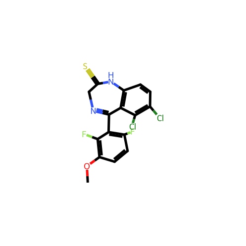 COc1ccc(F)c(C2=NCC(=S)Nc3ccc(Cl)c(Cl)c32)c1F